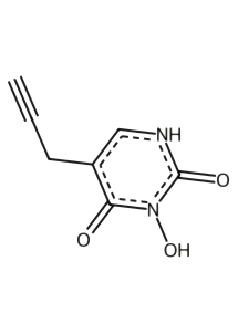 C#CCc1c[nH]c(=O)n(O)c1=O